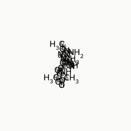 CCCNP(=O)(OCc1oc(=O)oc1C)OC[C@H]1O[C@@H](n2cnc3c(OCC)nc(N)nc32)[C@](C)(N=[N+]=[N-])[C@@H]1O